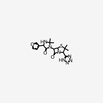 CC1(C)SC2C(N3C(=O)C(c4ccoc4)NC3(C)C)C(=O)N2C1c1nnn[nH]1